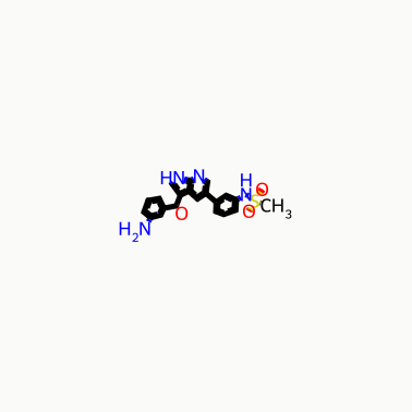 CS(=O)(=O)Nc1cccc(-c2cnc3[nH]cc(C(=O)c4cccc(N)c4)c3c2)c1